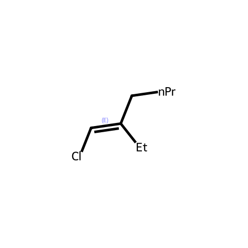 CCCC/C(=C/Cl)CC